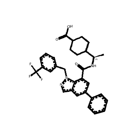 C[C@@H](NC(=O)c1cc(-c2ccccc2)cc2cnn(Cc3cccc(C(F)(F)F)c3)c12)C1CCC(C(=O)O)CC1